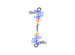 CC(C)(C)N=NC1(NC(=S)NNC(=S)OSCCCCCCSOC(=S)NNC(=S)NC2(N=NC(C)(C)C)CCCCC2)CCCCC1